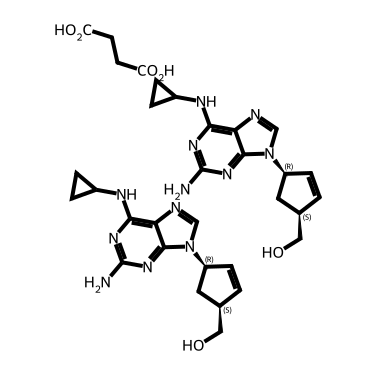 Nc1nc(NC2CC2)c2ncn([C@H]3C=C[C@@H](CO)C3)c2n1.Nc1nc(NC2CC2)c2ncn([C@H]3C=C[C@@H](CO)C3)c2n1.O=C(O)CCC(=O)O